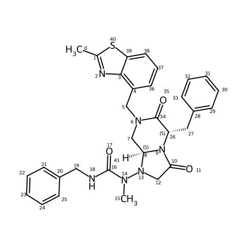 Cc1nc2c(CN3C[C@H]4N(C(=O)CN4N(C)C(=O)NCc4ccccc4)[C@@H](Cc4ccccc4)C3=O)cccc2s1